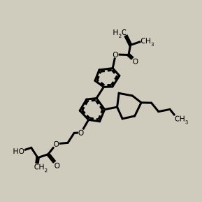 C=C(C)C(=O)Oc1ccc(-c2ccc(OCCOC(=O)C(=C)CO)cc2C2CCC(CCCC)CC2)cc1